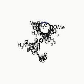 COc1cc2cc(c1Cl)N(C)C(=O)C[C@H](OC(=O)[C@H](C)N(C)C(=O)c1ccc(NC(=O)[C@H](CCCNC(N)=O)NC(=O)[C@@H](NC(=O)CCCCC(=O)ON3C(=O)CCC3=O)C(C)C)cc1)[C@]1(C)O[C@H]1[C@H](C)[C@@H]1C[C@@](O)(NC(=O)O1)[C@H](OC)/C=C/C=C(\C)C2